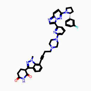 Cn1nc(C2CCC(=O)NC2=O)c2cccc(C#CCCN3CCN(c4cccc(-c5cnc6ccc(N7CCC[C@@H]7c7cccc(F)c7)nn56)n4)CC3)c21